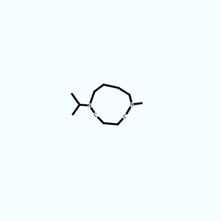 CC(C)N1CCCCN(C)CCCC1